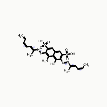 C=C\C=C/C=C(C)/N=N/c1c(S(=O)(=O)O)cc2cc(S(=O)(=O)O)c(/N=N/C(C)=C/C=C\C)c(O)c2c1N